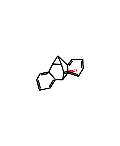 O=C1C2c3ccccc3C3C1C3c1ccccc12